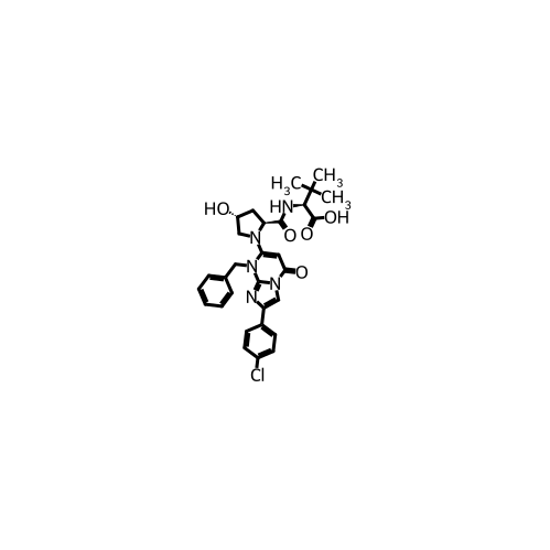 CC(C)(C)[C@H](NC(=O)[C@@H]1C[C@@H](O)CN1c1cc(=O)n2cc(-c3ccc(Cl)cc3)nc2n1Cc1ccccc1)C(=O)O